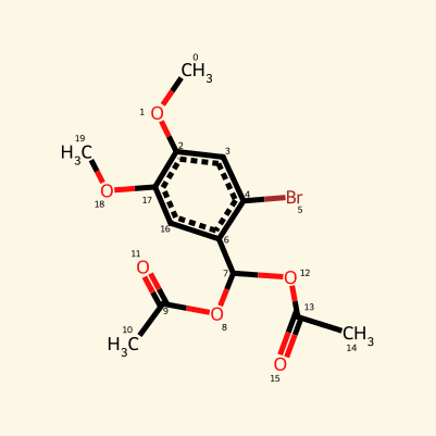 COc1cc(Br)c(C(OC(C)=O)OC(C)=O)cc1OC